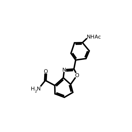 CC(=O)Nc1ccc(-c2nc3c(C(N)=O)cccc3o2)cc1